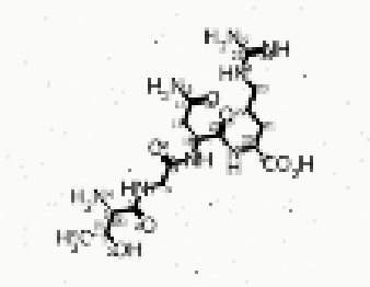 C[C@@H](O)[C@H](N)C(=O)NCC(=O)N[C@@H](CC(N)=O)C(=O)N[C@@H](CCCNC(=N)N)C(=O)O